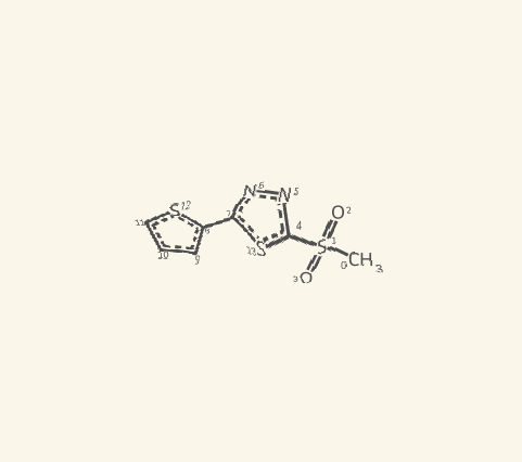 CS(=O)(=O)c1nnc(-c2cccs2)s1